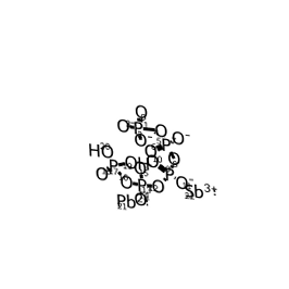 O=P([O-])([O-])OP(=O)([O-])OP(=O)([O-])OP(=O)([O-])OP(=O)(O)O.[Pb+2].[Sb+3]